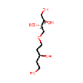 OCCC(O)CCOC[C@H](O)[C@H](O)CO